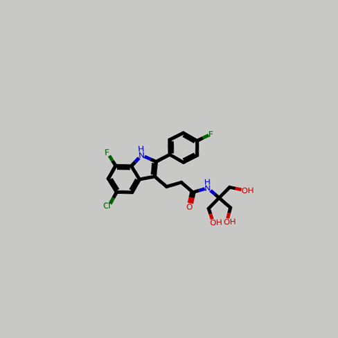 O=C(CCc1c(-c2ccc(F)cc2)[nH]c2c(F)cc(Cl)cc12)NC(CO)(CO)CO